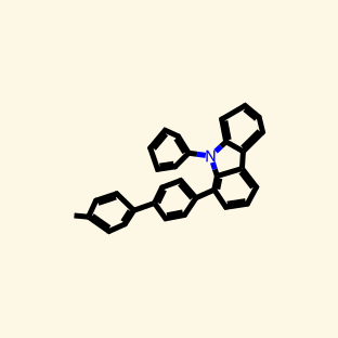 Cc1ccc(-c2ccc(-c3cccc4c5ccccc5n(-c5ccccc5)c34)cc2)cc1